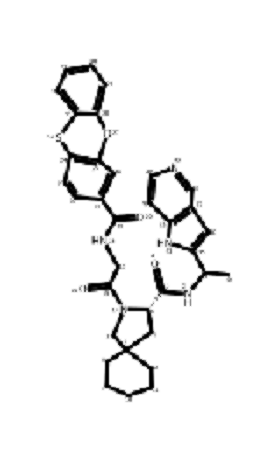 CC(NC(=O)[C@@H]1CC2(CCCCC2)CN1C(=O)CNC(=O)c1ccc2c(c1)Oc1ccccc1S2)c1cc2cnccc2[nH]1